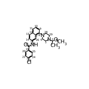 COC(C)N1CCN(c2cccc3ccc(NC(=O)c4ccc(Cl)cc4)cc23)CC1